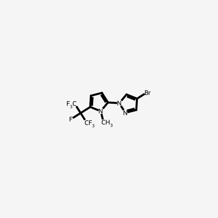 Cn1c(-n2cc(Br)cn2)ccc1C(F)(C(F)(F)F)C(F)(F)F